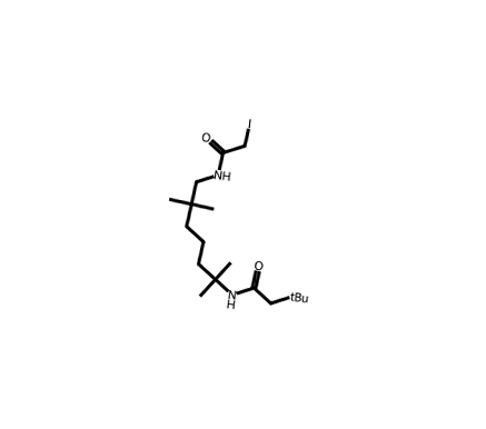 CC(C)(C)CC(=O)NC(C)(C)CCCC(C)(C)CNC(=O)CI